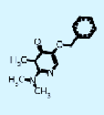 CC1C(=O)C(OCc2ccccc2)=CN=C1N(C)C